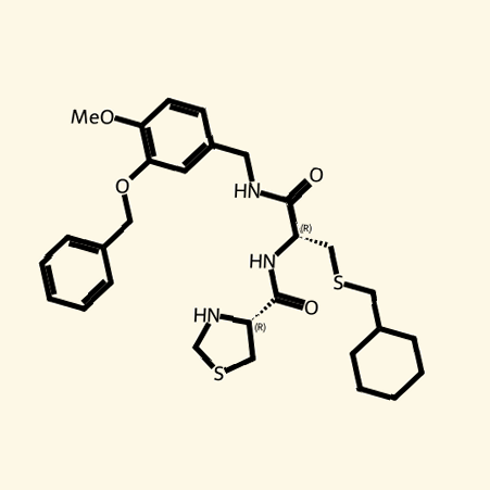 COc1ccc(CNC(=O)[C@H](CSCC2CCCCC2)NC(=O)[C@@H]2CSCN2)cc1OCc1ccccc1